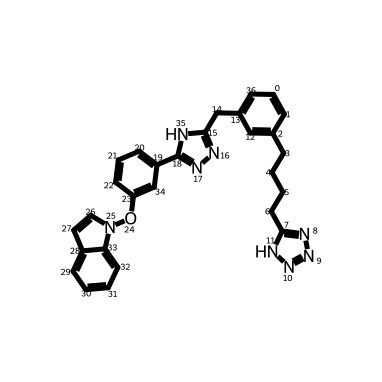 c1cc(CCCCc2nnn[nH]2)cc(Cc2nnc(-c3cccc(On4ccc5ccccc54)c3)[nH]2)c1